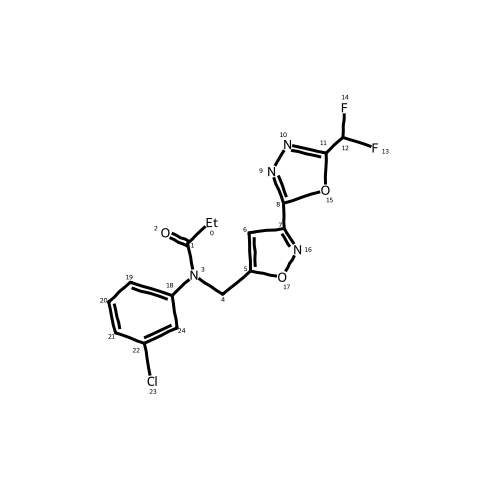 CCC(=O)N(Cc1cc(-c2nnc(C(F)F)o2)no1)c1cccc(Cl)c1